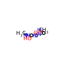 COc1ccccc1CNC1CCN(c2ccc(-n3cnc(C)c3)c(O)c2)C1=O